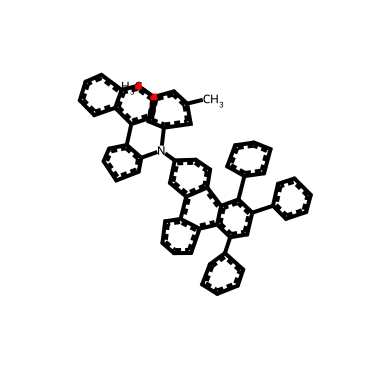 Cc1cc(C)cc(N(c2ccc3c(c2)c2ccccc2c2c(-c4ccccc4)cc(-c4ccccc4)c(-c4ccccc4)c32)c2ccccc2-c2cccc3ccccc23)c1